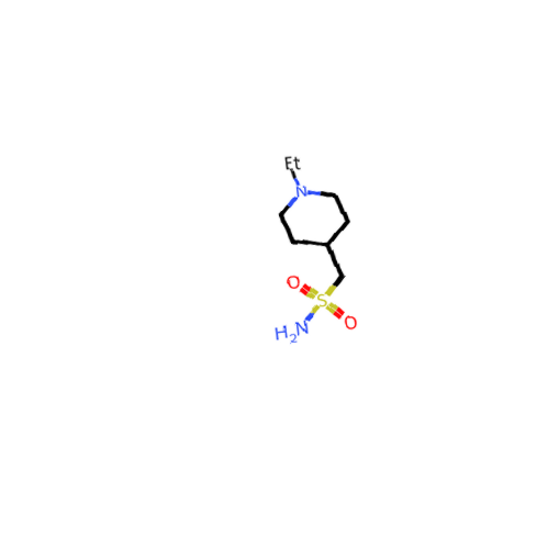 CCN1CCC(CS(N)(=O)=O)CC1